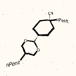 CCCCCC1COC([C@H]2CC[C@](C#N)(CCCCC)CC2)OC1